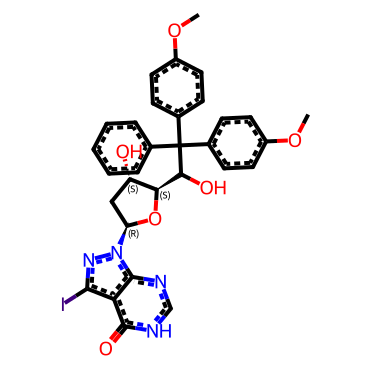 COc1ccc(C(c2ccccc2)(c2ccc(OC)cc2)C(O)[C@H]2O[C@@H](n3nc(I)c4c(=O)[nH]cnc43)C[C@@H]2O)cc1